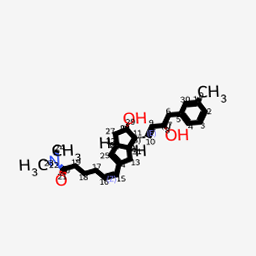 Cc1cccc(C[C@@H](O)/C=C/[C@@H]2[C@H]3CC(/C=C\CCCC(=O)N(C)C)=C[C@H]3C[C@H]2O)c1